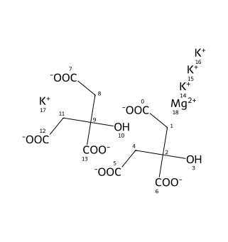 O=C([O-])CC(O)(CC(=O)[O-])C(=O)[O-].O=C([O-])CC(O)(CC(=O)[O-])C(=O)[O-].[K+].[K+].[K+].[K+].[Mg+2]